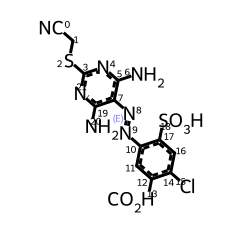 N#CCSc1nc(N)c(/N=N/c2cc(C(=O)O)c(Cl)cc2S(=O)(=O)O)c(N)n1